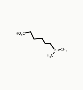 C[S+](C)CCCCCC(=O)O